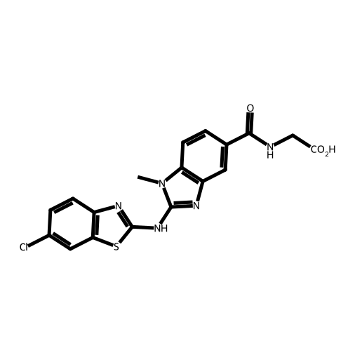 Cn1c(Nc2nc3ccc(Cl)cc3s2)nc2cc(C(=O)NCC(=O)O)ccc21